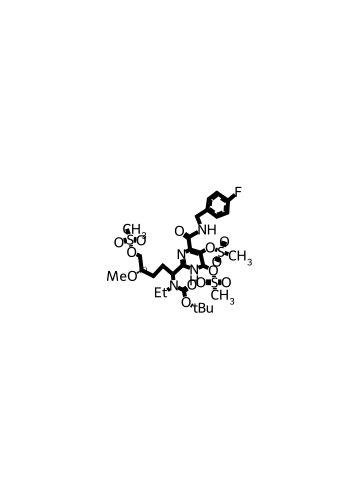 CCN(C(=O)OC(C)(C)C)C(CC[C@@H](COS(C)(=O)=O)OC)C1=NC(C(=O)NCc2ccc(F)cc2)=C(OS(C)(=O)=O)C(OS(C)(=O)=O)N1